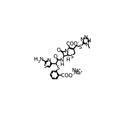 Cn1nnnc1SCC1=C(C(=O)[O-])N2C(=O)C(NC(=O)C(Sc3ccccc3C(=O)[O-])c3csc(N)n3)[C@@H]2SC1.[Na+].[Na+]